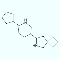 C1CCC(C2CCC(C3CC4(CCC4)CN3)CN2)C1